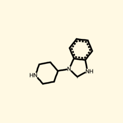 [CH]1Nc2ccccc2N1C1CCNCC1